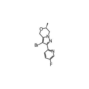 C[C@H]1Cn2nc(-c3ccc(F)cn3)c(Br)c2CO1